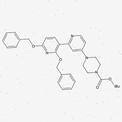 CC(C)(C)OC(=O)N1CCN(c2ccnc(-c3ccc(OCc4ccccc4)nc3OCc3ccccc3)c2)CC1